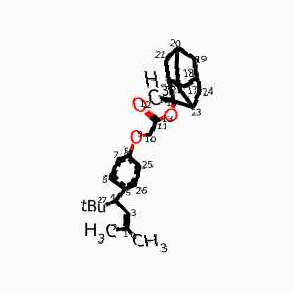 CC(C)=CC(c1ccc(OCC(=O)OC2(C)C3CC4CC(C3)CC2C4)cc1)C(C)(C)C